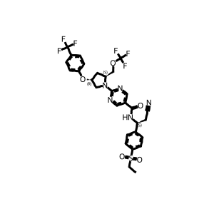 CCS(=O)(=O)c1ccc([C@H](CC#N)NC(=O)c2cnc(N3C[C@H](Oc4ccc(C(F)(F)F)cc4)C[C@H]3COC(F)(F)F)nc2)cc1